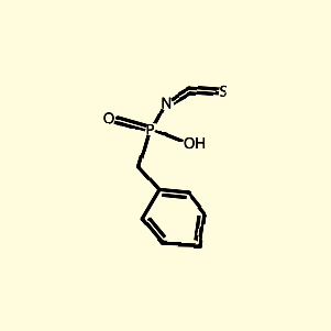 O=P(O)(Cc1ccccc1)N=C=S